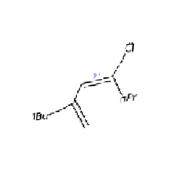 C=C(/C=C(/Cl)CCC)C(C)CC